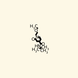 CCOCCn1ccc(C(=O)NC(C)(C)C)cc1=O